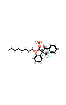 CCCCCCCCOC(=O)C(C(=O)c1ccccc1)(c1ccccc1)C(F)(F)F.O=P